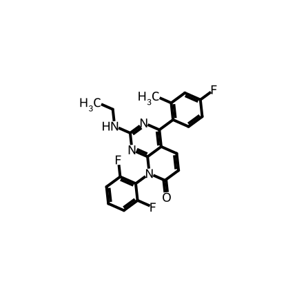 CCNc1nc(-c2ccc(F)cc2C)c2ccc(=O)n(-c3c(F)cccc3F)c2n1